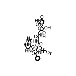 C#CCC(NC(=O)OC(c1ccccc1)C(CCOC(=O)NCC(=O)NCC1OC(n2ccc(=O)[nH]c2=O)C(O)C1O)NC(=O)C(C)(C)CC(C)C)C(=O)NCC1(C)N=N1